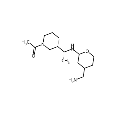 CC(=O)N1CCC[C@H]([C@@H](C)NC2CC(CN)CCO2)C1